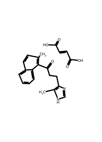 Cc1ccc2ccccc2c1C(=O)CCc1nc[nH]c1C.O=C(O)C=CC(=O)O